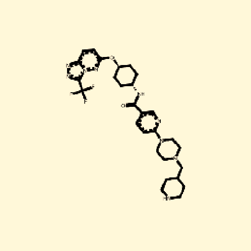 O=C(N[C@H]1CC[C@H](Oc2ccc3nnc(C(F)(F)F)n3n2)CC1)c1ccc(N2CCN(CC3CCNCC3)CC2)nc1